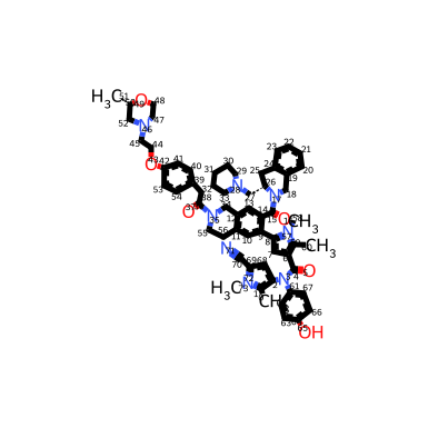 Cc1c(N(C(=O)c2cc(-c3cc4c(cc3C(=O)N3Cc5ccccc5C[C@H]3CN3CCCCC3)CN(C(=O)Cc3ccc(OCCN5CCO[C@@H](C)C5)cc3)CC4)n(C)c2C)c2ccc(O)cc2)cc(C#N)n1C